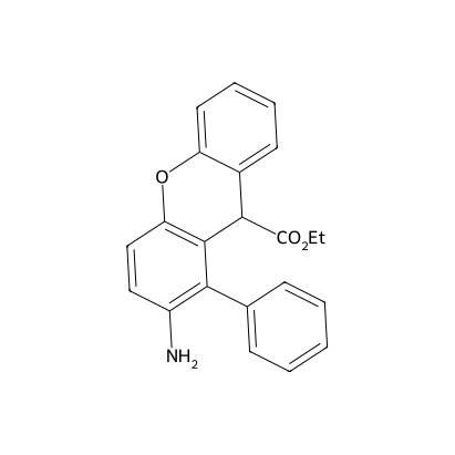 CCOC(=O)C1c2ccccc2Oc2ccc(N)c(-c3ccccc3)c21